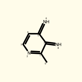 CC1=NC=CC(=N)C1=N